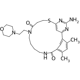 Cc1cc(C)c2cc1C(=O)NCCCCN(CCN1CCOCC1)C(=O)CCSc1cc-2nc(N)n1